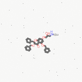 CC(C)(C)NCC(O)COc1cc(OCc2ccccc2)c2c(=O)c(OCc3ccccc3)c(-c3ccccc3)oc2c1